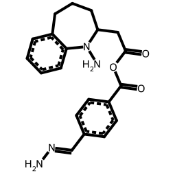 NN=Cc1ccc(C(=O)OC(=O)CC2CCCc3ccccc3N2N)cc1